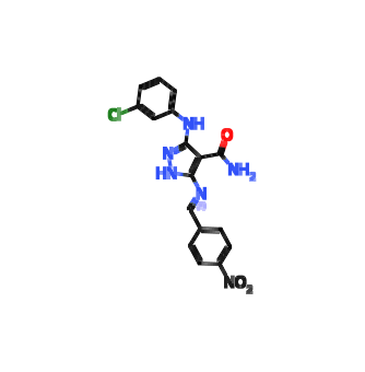 NC(=O)c1c(Nc2cccc(Cl)c2)n[nH]c1/N=C/c1ccc([N+](=O)[O-])cc1